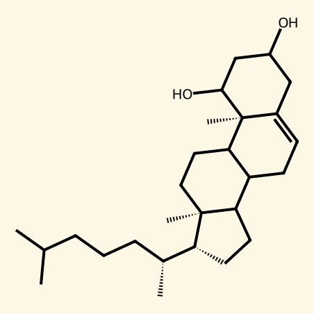 CC(C)CCC[C@@H](C)[C@H]1CCC2C3CC=C4CC(O)CC(O)[C@]4(C)C3CC[C@@]21C